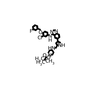 CC(C)(C)C(=O)ON1CCC(NCc2cc(-c3ccc4ncnc(Nc5ccc(OCc6cccc(F)c6)c(Cl)c5)c4c3)c[nH]2)CC1